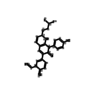 N=Cn1cc(-c2cc3c(n(-c4ccc(Cl)cc4)c2=O)NC(OCC(F)F)C=C3)ccc1=N